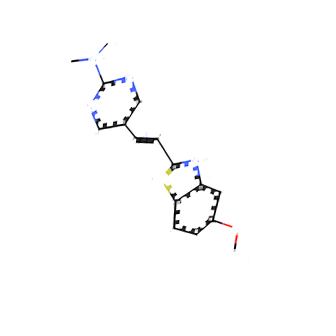 COc1ccc2sc(/C=C/c3cnc(N(C)C)nc3)nc2c1